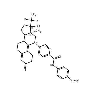 COc1ccc(NC(=O)c2ccc([C@H]3C[C@@]4(C)C(CC[C@]4(O)C(F)(F)C(F)(F)F)C4CCC5=CC(=O)CCC5=C43)cc2)cc1